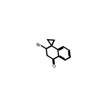 O=C1CC(Br)C2(CC2)c2ccccc21